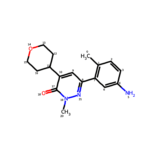 Cc1ccc(N)cc1-c1cc(C2CCOCC2)c(=O)n(C)n1